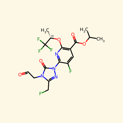 CC(C)OC(=O)c1cc(F)c(-n2nc(CF)n(CC=O)c2=O)nc1O[C@@H](C)C(F)(F)F